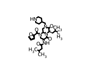 CC(C)CC(=O)N[C@@H]1CN(C(=O)c2ccco2)C2CN(CC3CCNCC3)C(=O)[C@@H](CC(C)C)N2C1=O